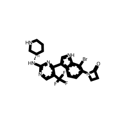 O=C1CCN1c1ccc2c(-c3nc(N[C@H]4CCCNC4)ncc3C(F)(F)F)c[nH]c2c1Br